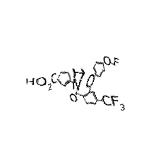 O=C(O)c1ccc(NC(=O)c2ccc(C(F)(F)F)cc2Oc2ccc(OCF)cc2)cc1